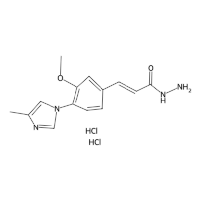 COc1cc(C=CC(=O)NN)ccc1-n1cnc(C)c1.Cl.Cl